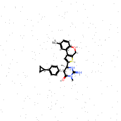 CN1C(=N)N[C@](C)(c2cc3c(s2)COc2ccc(C#N)cc2-3)[C@@H](c2ccc(C3CC3)cc2)C1=O